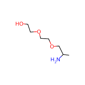 CC(N)COCCOCCO